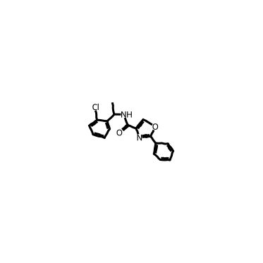 CC(NC(=O)c1coc(-c2ccccc2)n1)c1ccccc1Cl